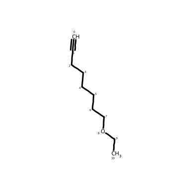 C#CCCCCCCO[CH]C